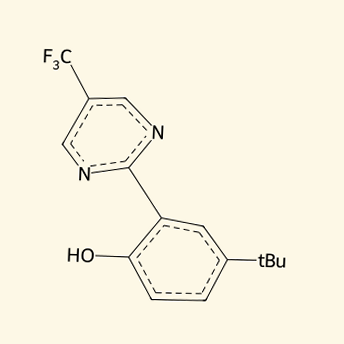 CC(C)(C)c1ccc(O)c(-c2ncc(C(F)(F)F)cn2)c1